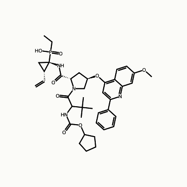 C=C[C@@H]1C[C@]1(NC(=O)[C@@H]1C[C@@H](Oc2cc(-c3ccccc3)nc3cc(OC)ccc23)CN1C(=O)C(NC(=O)OC1CCCC1)C(C)(C)C)P(=O)(O)CC